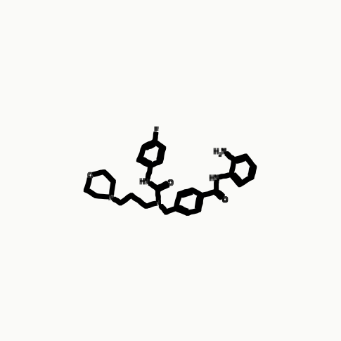 Nc1ccccc1NC(=O)c1ccc(CN(CCCN2CCOCC2)C(=O)Nc2ccc(F)cc2)cc1